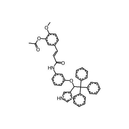 COc1ccc(C=CC(=O)Nc2cccc(OC(c3c[nH]cn3)C(c3ccccc3)(c3ccccc3)c3ccccc3)c2)cc1OC(C)=O